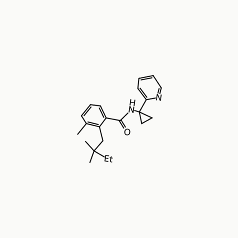 CCC(C)(C)Cc1c(C)cccc1C(=O)NC1(c2ccccn2)CC1